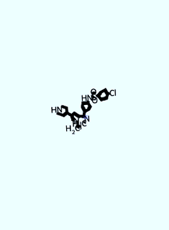 C=Nn1cc(C2=CCNCC2)cc1/C(=N\C)c1ccc(NS(=O)(=O)c2ccc(Cl)cc2)cc1